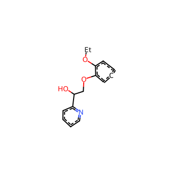 CCOc1ccccc1OCC(O)c1ccccn1